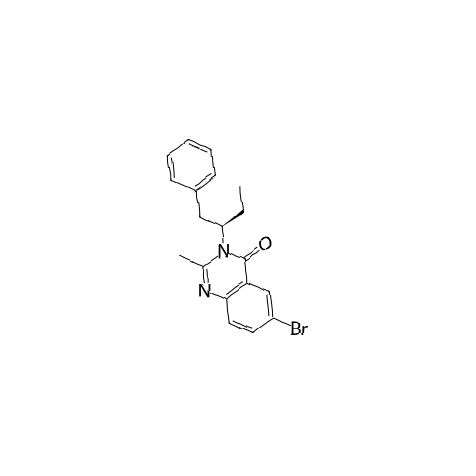 CC[C@H](Cc1ccccc1)n1c(C)nc2ccc(Br)cc2c1=O